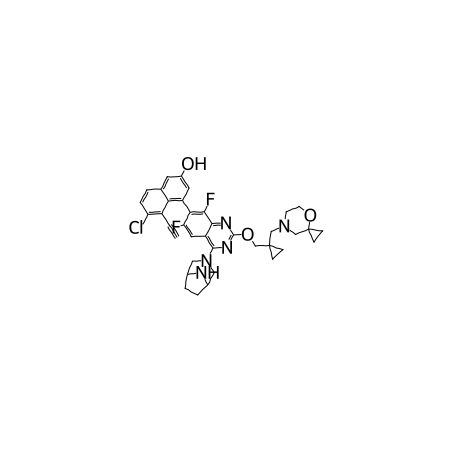 C#Cc1c(Cl)ccc2cc(O)cc(-c3c(F)cc4c(N5CC6CCC(C5)N6)nc(OCC5(CN6CCOC7(CC7)C6)CC5)nc4c3F)c12